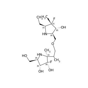 CC[C@@H]1N[C@H](COCC(C)[C@]2(C)N[C@H](CO)[C@@H](O)[C@]2(O)F)[C@@H](O)[C@@]1(C)F